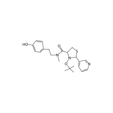 CN(CCc1ccc(O)cc1)C(=O)C1CSC(c2cccnc2)N1OC(C)(C)C